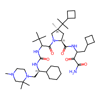 CN1CCN(C[C@@H](NC(=O)NC(C(=O)N2C[C@@](C)(C(C)(C)C3CCC3)C[C@H]2C(=O)NC(CC2CCC2)C(=O)C(N)=O)C(C)(C)C)C2CCCCC2)C(C)(C)C1